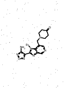 CCn1c(-c2nonc2N)nc2cncc(CN3CCC(=O)CC3)c21